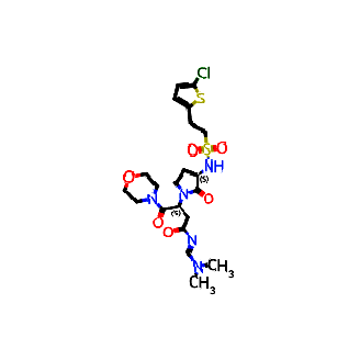 CN(C)C=NC(=O)C[C@@H](C(=O)N1CCOCC1)N1CC[C@H](NS(=O)(=O)CCc2ccc(Cl)s2)C1=O